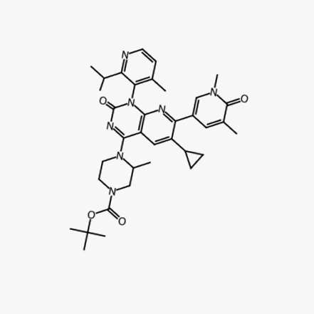 Cc1ccnc(C(C)C)c1-n1c(=O)nc(N2CCN(C(=O)OC(C)(C)C)CC2C)c2cc(C3CC3)c(-c3cc(C)c(=O)n(C)c3)nc21